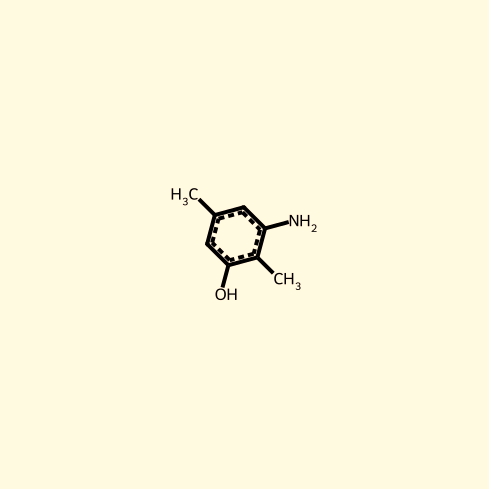 Cc1cc(N)c(C)c(O)c1